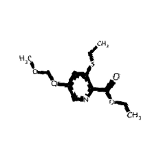 CCOC(=O)c1ncc(OCOC)cc1SCC